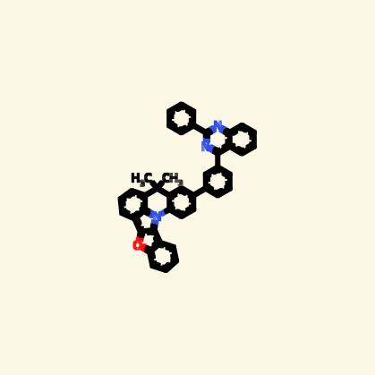 CC1(C)c2cc(-c3cccc(-c4nc(-c5ccccc5)nc5ccccc45)c3)ccc2-n2c3c1cccc3c1oc3ccccc3c12